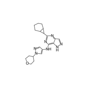 c1nn(C2CCOCC2)cc1Nc1nc(C2C3CCCCC32)nc2cn[nH]c12